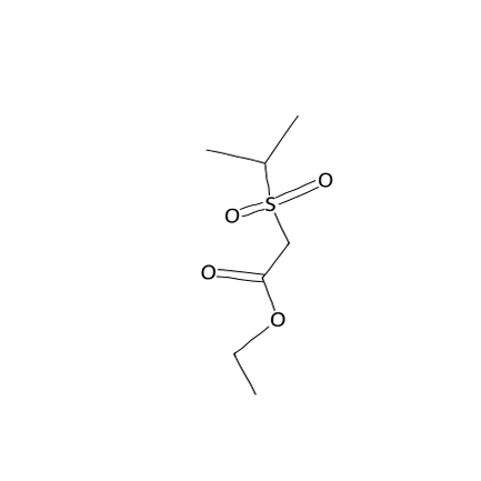 CCOC(=O)CS(=O)(=O)C(C)C